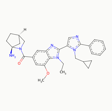 CCn1c(-c2cnc(-c3ccccc3)n2CC2CC2)nc2cc(C(=O)N3C[C@@H]4CC[C@]3(N)C4)cc(OC)c21